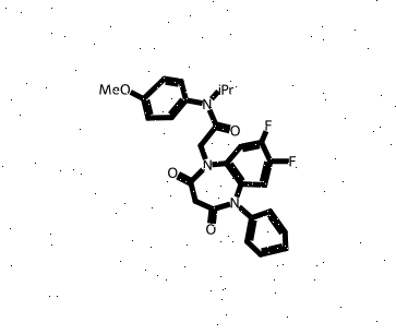 COc1ccc(N(C(=O)CN2C(=O)CC(=O)N(c3ccccc3)c3cc(F)c(F)cc32)C(C)C)cc1